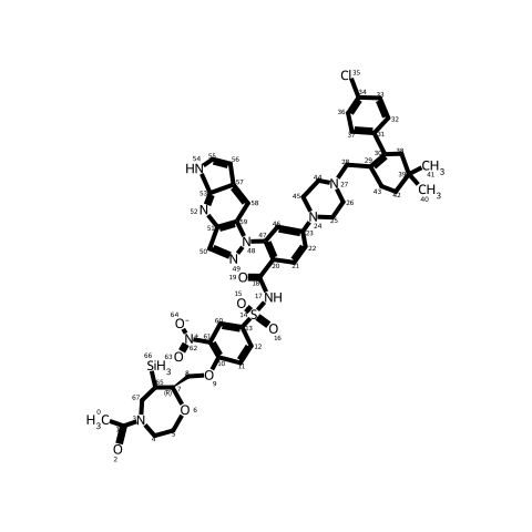 CC(=O)N1CCO[C@H](COc2ccc(S(=O)(=O)NC(=O)c3ccc(N4CCN(CC5=C(c6ccc(Cl)cc6)CC(C)(C)CC5)CC4)cc3-n3ncc4nc5[nH]ccc5cc43)cc2[N+](=O)[O-])C([SiH3])C1